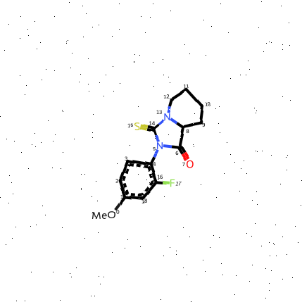 COc1ccc(N2C(=O)C3CCCCN3C2=S)c(F)c1